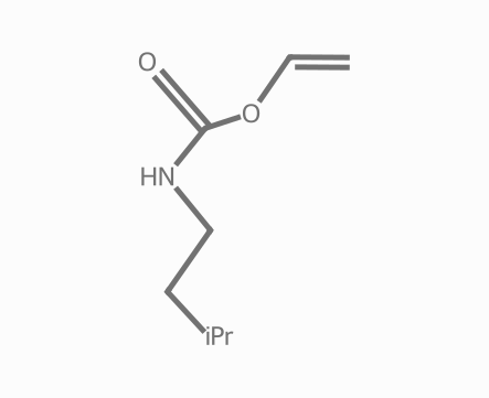 C=COC(=O)NCCC(C)C